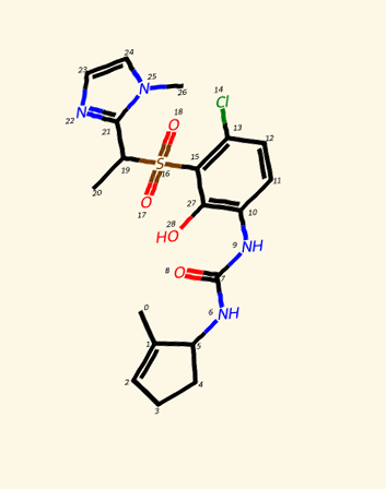 CC1=CCCC1NC(=O)Nc1ccc(Cl)c(S(=O)(=O)C(C)c2nccn2C)c1O